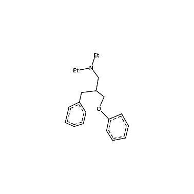 CCN(CC)CC(COc1ccccc1)Cc1ccccc1